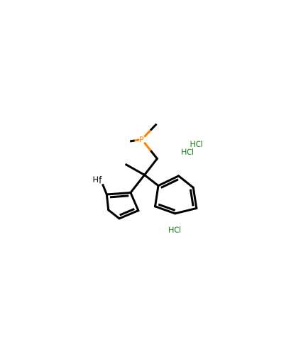 CP(C)CC(C)(C1=[C]([Hf])CC=C1)c1ccccc1.Cl.Cl.Cl